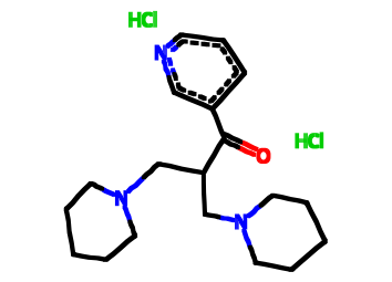 Cl.Cl.O=C(c1cccnc1)C(CN1CCCCC1)CN1CCCCC1